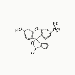 CCN(CC)c1ccc2c(c1)Oc1cc(O)ccc1C21OC(=O)c2ccccc21